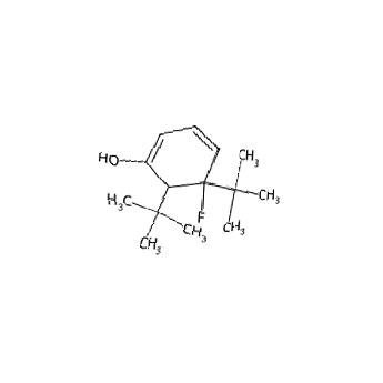 CC(C)(C)C1C(O)=CC=CC1(F)C(C)(C)C